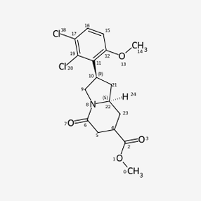 COC(=O)C1CC(=O)N2C[C@@H](c3c(OC)ccc(Cl)c3Cl)C[C@H]2C1